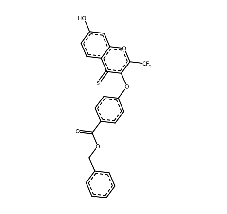 O=C(OCc1ccccc1)c1ccc(Oc2c(C(F)(F)F)oc3cc(O)ccc3c2=S)cc1